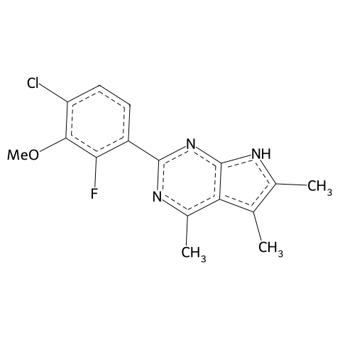 COc1c(Cl)ccc(-c2nc(C)c3c(C)c(C)[nH]c3n2)c1F